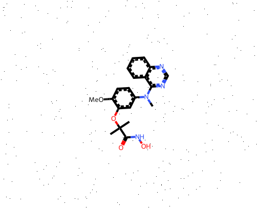 COc1ccc(N(C)c2ncnc3ccccc23)cc1OC(C)(C)C(=O)NO